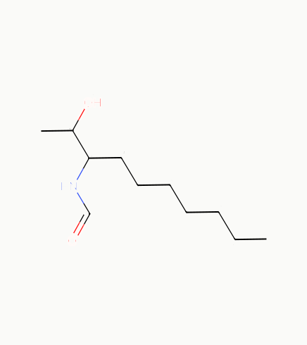 [CH2]C(O)C(CCCCCCC)NC=O